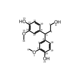 COc1cc(C(CCO)c2ccc(O)c(OC)c2)ccc1O